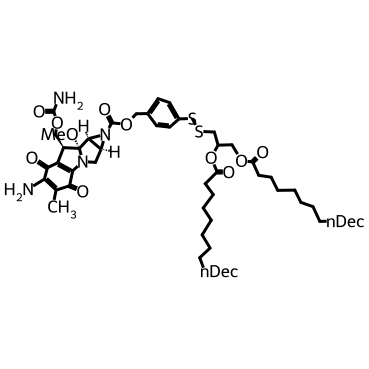 CCCCCCCCCCCCCCCCCC(=O)OCC(CSSc1ccc(COC(=O)N2[C@H]3[C@@H]2CN2C4=C(C(=O)C(N)=C(C)C4=O)[C@@H](COC(N)=O)[C@@]32OC)cc1)OC(=O)CCCCCCCCCCCCCCCCC